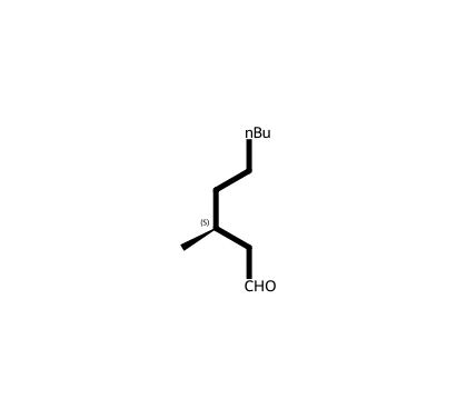 CCCCCC[C@H](C)CC=O